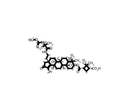 CC(C)C1=C2[C@H]3CC[C@@H]4[C@@]5(C)CC[C@H](OC(=O)[C@H]6C[C@@H](C(=O)O)C6(C)C)C(C)(C)[C@@H]5CC[C@@]4(C)[C@]3(C)CC[C@@]2(CCNC(=O)C(C)(C)NC(=O)OC(C)(C)C)CC1=O